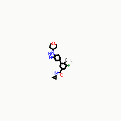 Cc1c(F)cc(C(=O)NC2CC2)cc1-c1ccc2c(c1)nnn2C1CCOCC1